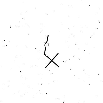 [CH3][Zn][CH2]C(C)(C)C